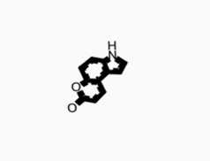 O=c1ccc2c(ccc3[nH]ccc32)o1